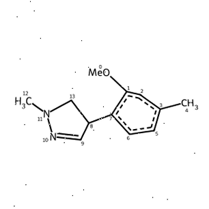 COc1cc(C)ccc1C1C=NN(C)C1